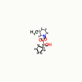 C[C@@H]1CCCN(OC(=O)[C@H](O)c2ccccc2)C1